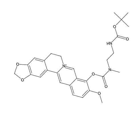 COc1ccc2cc3[n+](cc2c1OC(=O)N(C)CCNC(=O)OC(C)(C)C)CCc1cc2c(cc1-3)OCO2